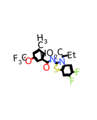 CCC(C(=O)O)n1/c(=N/C(=O)c2cc(C)cc(OC(F)(F)F)c2)sc2cc(F)c(F)cc21